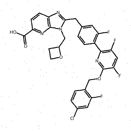 O=C(O)c1ccc2nc(Cc3ccc(-c4nc(OCc5ccc(Cl)cc5F)c(F)cc4F)c(F)c3)n(CC3CCO3)c2n1